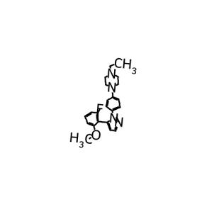 CCN1CCN(c2ccc(-n3nccc3-c3c(F)cccc3OC)cc2)CC1